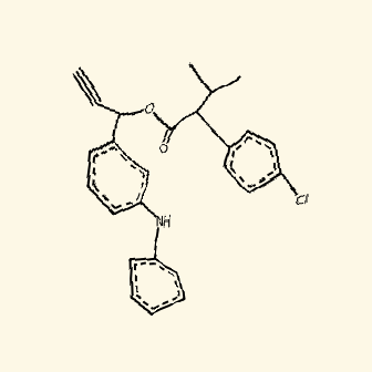 C#CC(OC(=O)C(c1ccc(Cl)cc1)C(C)C)c1cccc(Nc2ccccc2)c1